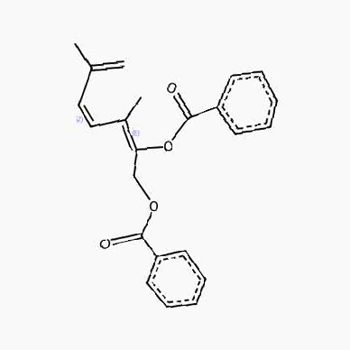 C=C(C)/C=C\C(C)=C(/COC(=O)c1ccccc1)OC(=O)c1ccccc1